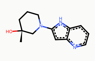 C[C@@]1(O)CCCN(c2cc3ncccc3[nH]2)C1